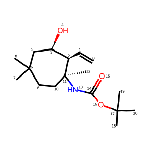 C=C[C@@H]1[C@H](O)CC(C)(C)CC[C@]1(C)NC(=O)OC(C)(C)C